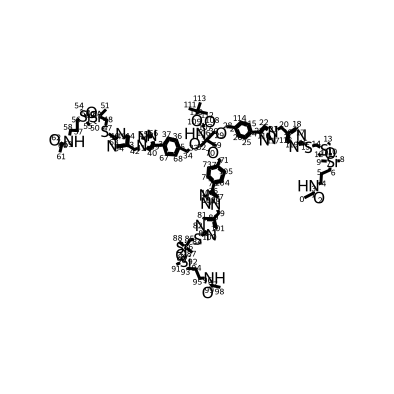 CC(=O)NCCC[Si](C)(C)O[Si](C)(C)CSc1ncc(Cn2cc(-c3ccc(COCC(COCc4ccc(-c5cn(Cc6cnc(SC[Si](C)(C)O[Si](C)(C)CCCNC(C)=O)nc6)nn5)cc4)(COCc4ccc(-c5cn(Cc6cnc(SC[Si](C)(C)O[Si](C)(C)CCCNC(C)=O)nc6)nn5)cc4)NC(=O)OC(C)(C)C)cc3)nn2)cn1